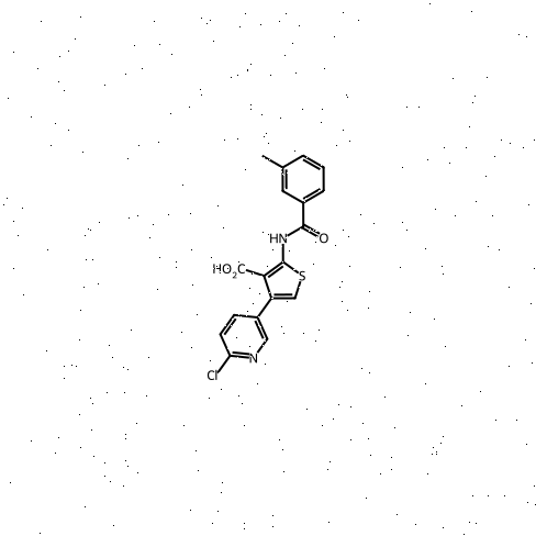 Cc1cccc(C(=O)Nc2scc(-c3ccc(Cl)nc3)c2C(=O)O)c1